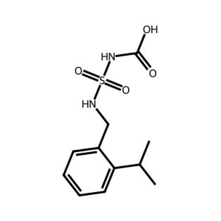 CC(C)c1ccccc1CNS(=O)(=O)NC(=O)O